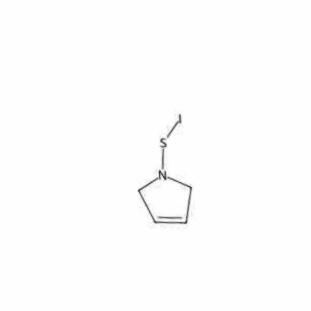 ISN1CC=CC1